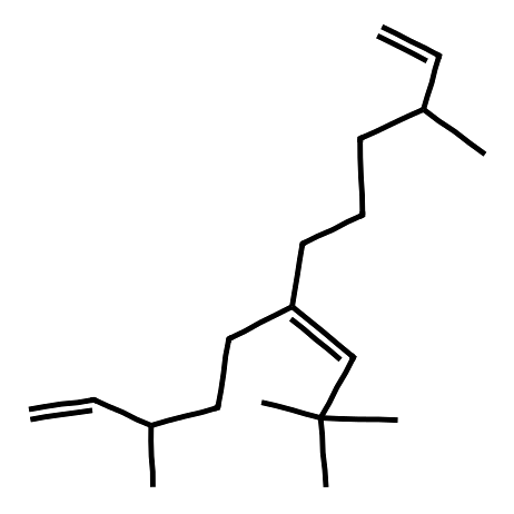 C=CC(C)CCCC(=CC(C)(C)C)CCC(C)C=C